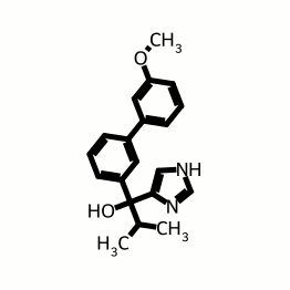 COc1cccc(-c2cccc(C(O)(c3c[nH]cn3)C(C)C)c2)c1